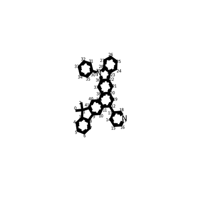 CC1(C)c2ccccc2-c2cc3c(-c4cccnc4)cc4cc5c6ccccc6n(-c6ccccc6)c5cc4c3cc21